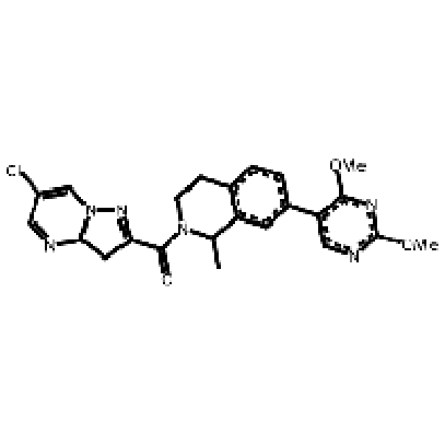 COc1ncc(-c2ccc3c(c2)C(C)N(C(=O)C2=NN4C=C(Cl)C=NC4C2)CC3)c(OC)n1